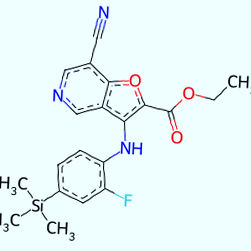 CCOC(=O)c1oc2c(C#N)cncc2c1Nc1ccc([Si](C)(C)C)cc1F